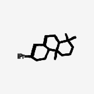 CC(C)C1=CC2=CCC3C(C)(C)CCCC3(C)C2CC1